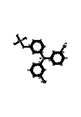 C[N+](C)(C)Cc1cccc(N(c2cccc(Br)c2)c2cccc(Br)c2)c1